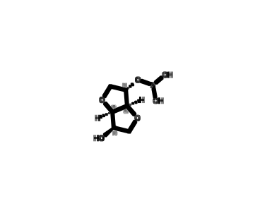 O[C@@H]1CO[C@H]2[C@@H]1OC[C@@H]2ON(O)O